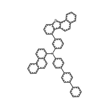 c1ccc(-c2ccc(-c3ccc(N(c4cccc(-c5cccc6oc7c8ccccc8ccc7c56)c4)c4cccc5c4ccc4ccccc45)cc3)cc2)cc1